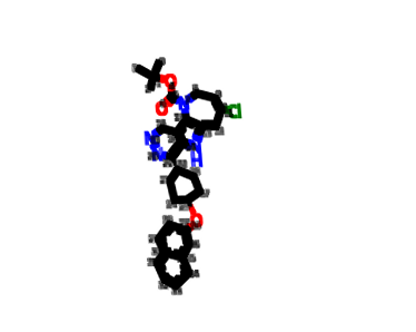 CC(C)(C)OC(=O)N1CC=C(Cl)C=c2[nH]c3c(c21)CN=NC=3[C@H]1CC[C@H](Oc2ccc3ccccc3c2)CC1